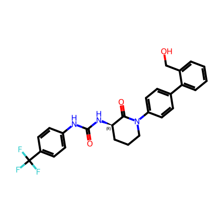 O=C(Nc1ccc(C(F)(F)F)cc1)N[C@@H]1CCCN(c2ccc(-c3ccccc3CO)cc2)C1=O